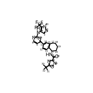 Cn1ncc(Nc2nccc(-c3ccc4c(c3)CCCC[C@@H]4NC(=O)c3noc(C(C)(C)C)n3)n2)c1C(F)(F)F